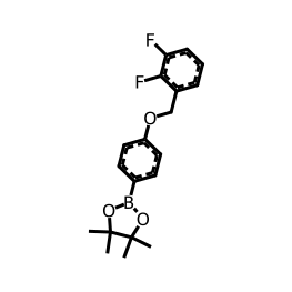 CC1(C)OB(c2ccc(OCc3cccc(F)c3F)cc2)OC1(C)C